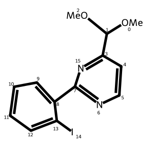 COC(OC)c1ccnc(-c2ccccc2I)n1